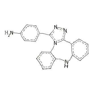 Nc1ccc(-c2nnc3n2-c2ccccc2Nc2ccccc2-3)cc1